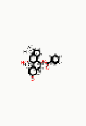 CC(=O)C1CCC2C3C([C@H](O)C[C@]12C)[C@@]1(C)CCC(=O)C[C@H]1C[C@H]3OC(=O)c1ccccc1